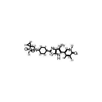 Cc1c(-c2[nH]c3sc(C4CCC(NCC5(S(C)(=O)=O)CC5)CC4)nc3c2C(C)C)cn(C)c(=O)c1C